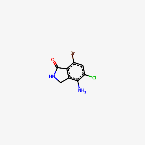 Nc1c(Cl)cc(Br)c2c1CNC2=O